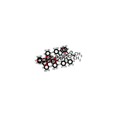 C=C(C)C(=O)O[Si](Cc1ccccc1)(Cc1ccccc1)O[Si](Cc1ccccc1)(Cc1ccccc1)O[Si](Cc1ccccc1)(Cc1ccccc1)O[Si](Cc1ccccc1)(Cc1ccccc1)O[Si](Cc1ccccc1)(Cc1ccccc1)O[Si](Cc1ccccc1)(Cc1ccccc1)Cc1ccccc1